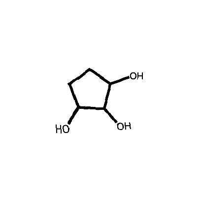 O[C]1CCC(O)C1O